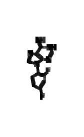 N=c1[nH]cnc2c1ncn2-c1ccc(F)cc1F